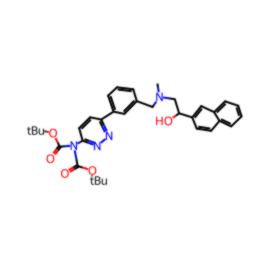 CN(Cc1cccc(-c2ccc(N(C(=O)OC(C)(C)C)C(=O)OC(C)(C)C)nn2)c1)CC(O)c1ccc2ccccc2c1